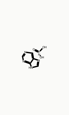 O=[PH](O)O.c1ncc2nc[nH]c2n1